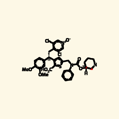 COc1ccc([C@H](Cc2c(Cl)c[n+]([O-])cc2Cl)c2cc(CN(C(=O)O[C@H]3CN4CCC3CC4)c3ccccc3)sc2C(=O)O)cc1OC